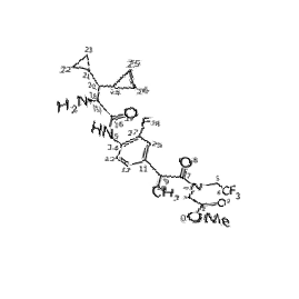 COC(=O)CN(CC(F)(F)F)C(=O)C(C)c1ccc(NC(=O)[C@@H](N)C(C2CC2)C2CC2)c(F)c1